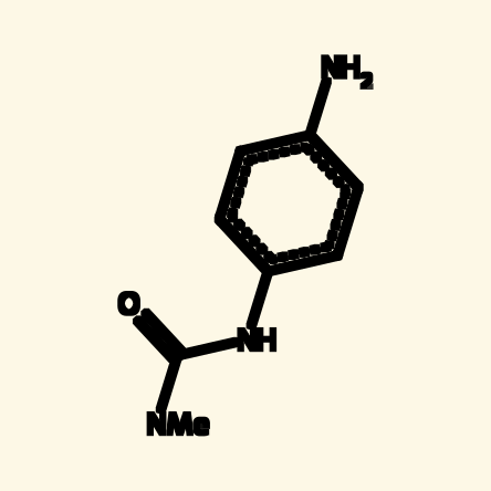 CNC(=O)Nc1ccc(N)cc1